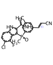 Cc1cc(/C=C/C#N)cc(P(C)(=O)c2c(C(N)=O)[nH]c3ccc(Cl)c(F)c23)c1